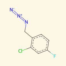 [N-]=[N+]=NCc1ccc(F)cc1Cl